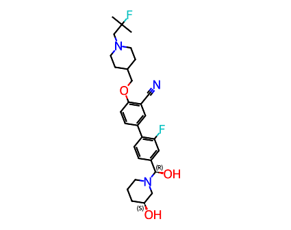 CC(C)(F)CN1CCC(COc2ccc(-c3ccc([C@@H](O)N4CCC[C@H](O)C4)cc3F)cc2C#N)CC1